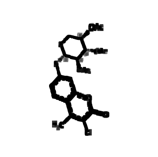 CC(=O)O[C@@H]1[C@@H](OC(C)=O)[C@H](Sc2ccc3c(C)c(Cl)c(=O)oc3c2)SC[C@H]1OC(C)=O